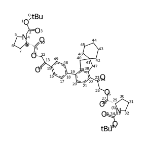 CC(C)(C)OC(=O)N1CCC[C@H]1C(=O)OCC(=O)c1ccc(-c2ccc(C(=O)COC(=O)[C@@H]3CCCN3C(=O)OC(C)(C)C)c3c2CC2(CCCCC2)C3)cc1